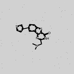 CN(C)Cc1nc2c(sc3ccc(-c4ccsc4)cc32)c(=O)[nH]1